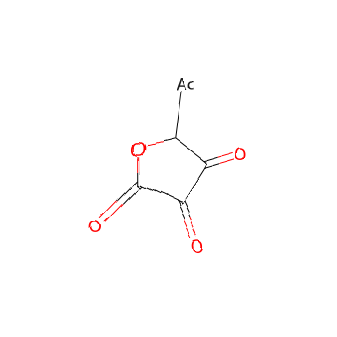 CC(=O)C1OC(=O)C(=O)C1=O